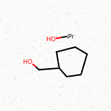 CC(C)O.OCC1CCCCC1